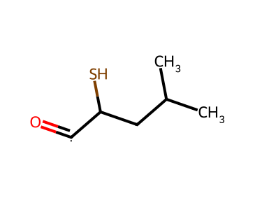 CC(C)CC(S)[C]=O